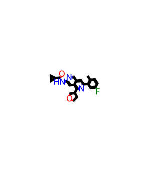 Cc1ccc(F)cc1-c1cc2cnc(NC(=O)C3CC3)cc2c(C2CCOC2)n1